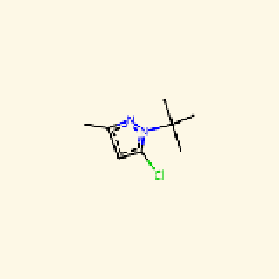 Cc1cc(Cl)n(C(C)(C)C)n1